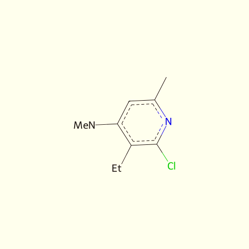 CCc1c(NC)cc(C)nc1Cl